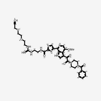 C#CCOCCOCCNC(=N)NCCNC(=O)c1nc(-c2ncc(OC)c3c(C(=O)C(=O)N4CCN(C(=O)c5ccccc5)CC4)c[nH]c23)cs1